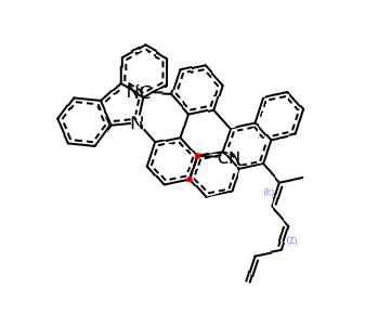 C=C/C=C\C=C(/C)c1c2ccccc2c(-c2cccc(C#N)c2-c2c(C#N)cccc2-n2c3ccccc3c3ccccc32)c2ccccc12